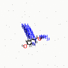 COc1ccc2cc(C=O)cnc2c1.N.N.N.N.N.N.N.N.N.N.N